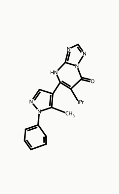 Cc1c(-c2[nH]c3ncnn3c(=O)c2C(C)C)cnn1-c1ccccc1